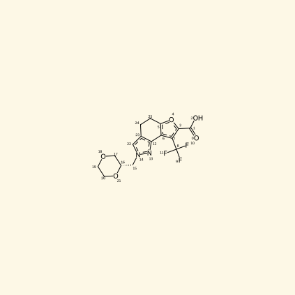 O=C(O)c1oc2c(c1C(F)(F)F)-c1nn(C[C@H]3COCCO3)cc1CC2